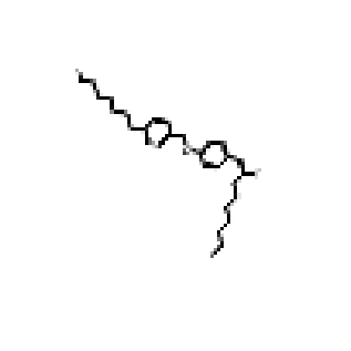 CCCCCCCCc1ccc(COc2ccc(/C=C(/F)CCCCCCC)cc2)cc1